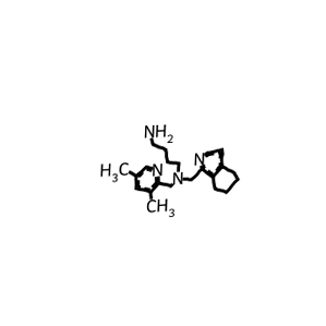 Cc1cnc(CN(CCCCN)Cc2nccc3c2CCCC3)c(C)c1